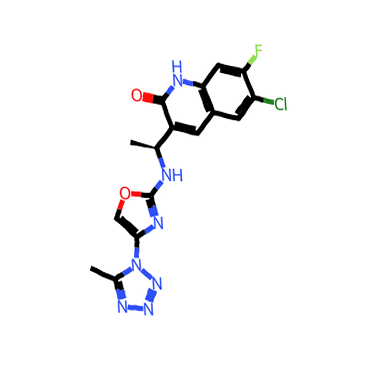 Cc1nnnn1-c1coc(N[C@@H](C)c2cc3cc(Cl)c(F)cc3[nH]c2=O)n1